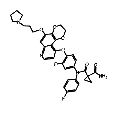 NC(=O)C1(C(=O)N(c2ccc(F)cc2)c2ccc(Oc3ccnc4cc(OCCCN5CCCC5)c5c(c34)OCCO5)c(F)c2)CC1